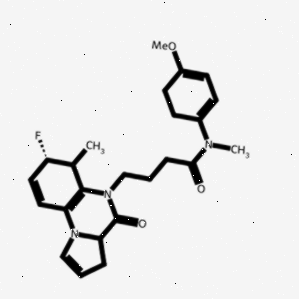 COC1=CC=C(N(C)C(=O)CCCN2C(=O)C3CC=CN3C3=C2C(C)[C@@H](F)C=C3)CC1